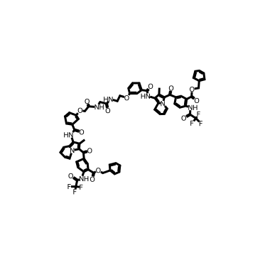 Cc1c(NC(=O)c2cccc(OCCNC(=O)CNC(=O)COc3cccc(C(=O)Nc4c(C)c(C(=O)c5ccc(NC(=O)C(F)(F)F)c(C(=O)OCc6ccccc6)c5)n5ccccc45)c3)c2)c2ccccn2c1C(=O)c1ccc(NC(=O)C(F)(F)F)c(C(=O)OCc2ccccc2)c1